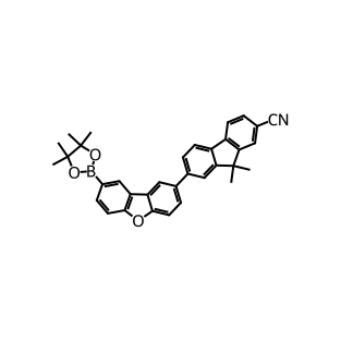 CC1(C)c2cc(C#N)ccc2-c2ccc(-c3ccc4oc5ccc(B6OC(C)(C)C(C)(C)O6)cc5c4c3)cc21